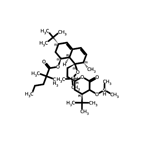 CCCC(C)(C)C(=O)O[C@H]1C[C@H](C(C)(C)C)C=C2C=C[C@H](C)[C@](CC[C@@H]3C[C@H](C(C)(C)C)C(O[SiH](C)C)C(=O)O3)(O[SiH](C)C)[C@H]21